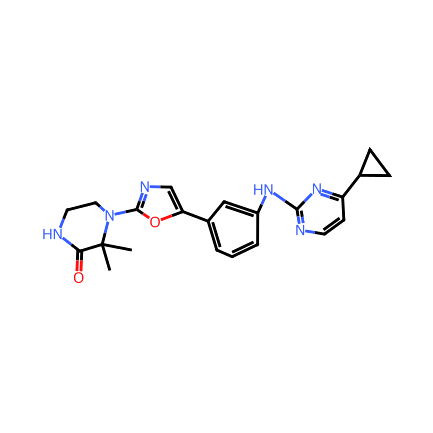 CC1(C)C(=O)NCCN1c1ncc(-c2cccc(Nc3nccc(C4CC4)n3)c2)o1